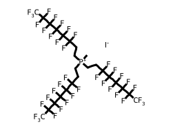 C[P+](CCC(F)(F)C(F)(F)C(F)(F)C(F)(F)C(F)(F)C(F)(F)F)(CCC(F)(F)C(F)(F)C(F)(F)C(F)(F)C(F)(F)C(F)(F)F)CCC(F)(F)C(F)(F)C(F)(F)C(F)(F)C(F)(F)C(F)(F)F.[I-]